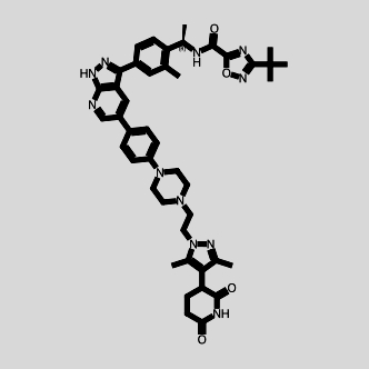 Cc1cc(-c2n[nH]c3ncc(-c4ccc(N5CCN(CCn6nc(C)c(C7CCC(=O)NC7=O)c6C)CC5)cc4)cc23)ccc1[C@@H](C)NC(=O)c1nc(C(C)(C)C)no1